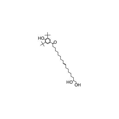 CC(C)(C)c1cc(C(=O)CCCCCCCC/C=C/CCCCCCC(O)CO)cc(C(C)(C)C)c1O